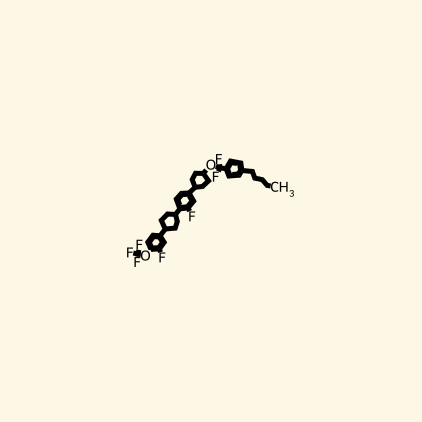 CCCCCc1ccc(C(F)(F)OC2CCC(c3ccc(C4CCC(c5ccc(OC(F)(F)F)c(F)c5)CC4)c(F)c3)CC2)cc1